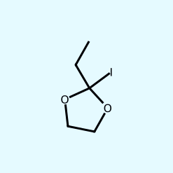 CCC1(I)OCCO1